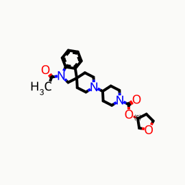 CC(=O)N1CC2(CCN(C3CCN(C(=O)O[C@H]4CCOC4)CC3)CC2)c2ccccc21